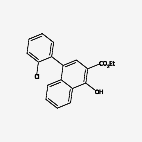 CCOC(=O)c1cc(-c2ccccc2Cl)c2ccccc2c1O